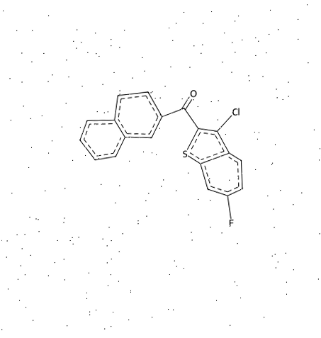 O=C(c1ccc2ccccc2c1)c1sc2cc(F)ccc2c1Cl